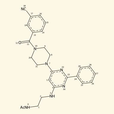 CC(=O)NCCNc1cc(N2CCN(C(=O)c3cccc(C#N)c3)CC2)nc(-c2ccccc2)n1